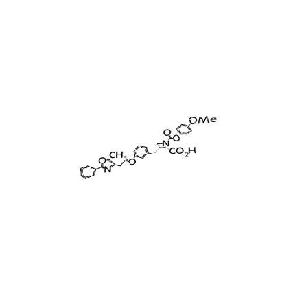 COc1ccc(OC(=O)N2C[C@@H](Cc3cccc(OCCc4nc(-c5ccccc5)oc4C)c3)[C@H]2C(=O)O)cc1